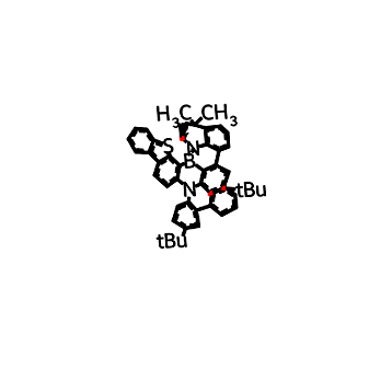 CC(C)(C)c1ccc(N2c3cc(C(C)(C)C)cc4c3B(c3c2ccc2c3sc3ccccc32)N2c3ccccc3C(C)(C)c3cccc-4c32)c(-c2ccccc2)c1